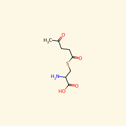 CC(=O)CCC(=O)SCC(N)C(=O)O